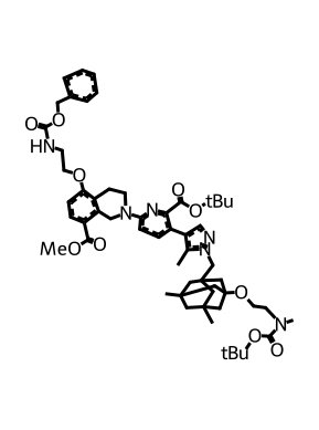 COC(=O)c1ccc(OCCNC(=O)OCc2ccccc2)c2c1CN(c1ccc(-c3cnn(CC45CC6(C)CC(C)(C4)CC(OCCN(C)C(=O)OC(C)(C)C)(C6)C5)c3C)c(C(=O)OC(C)(C)C)n1)CC2